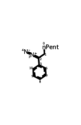 CCCCCCC(=[N+]=[N-])c1ccccc1